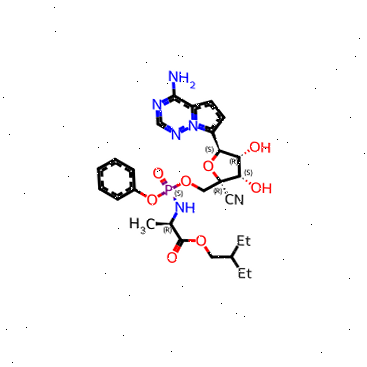 CCC(CC)COC(=O)[C@@H](C)N[P@](=O)(OC[C@@]1(C#N)O[C@@H](c2ccc3c(N)ncnn23)[C@H](O)[C@@H]1O)Oc1ccccc1